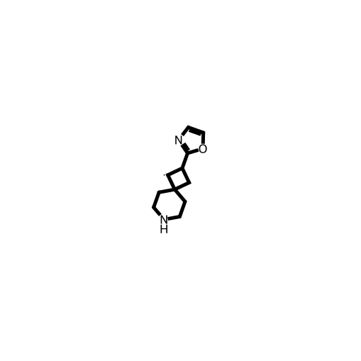 [CH]1C(c2ncco2)CC12CCNCC2